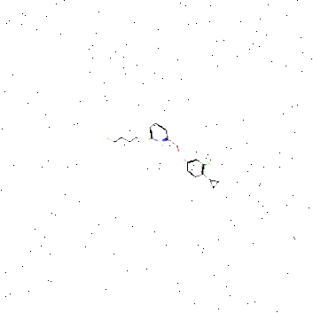 ClCCCCSc1cccc(COc2ccc(C3CC3)c(Cl)c2)n1